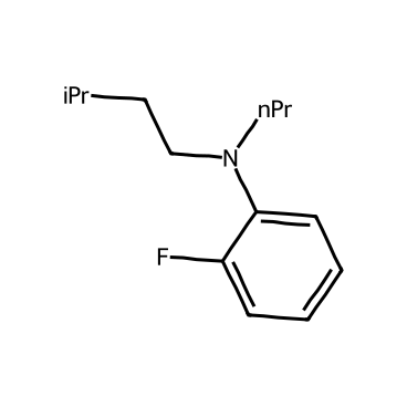 CCCN(CCC(C)C)c1ccccc1F